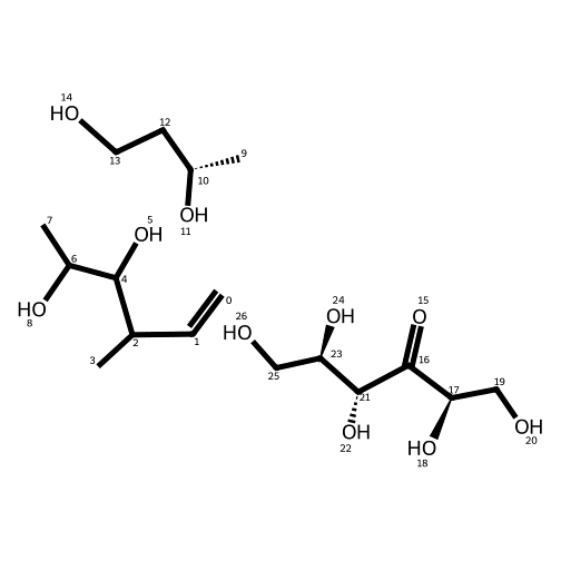 C=CC(C)C(O)C(C)O.C[C@H](O)CCO.O=C([C@H](O)CO)[C@H](O)[C@H](O)CO